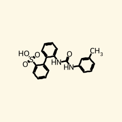 Cc1cccc(NC(=O)Nc2ccccc2-c2ccccc2S(=O)(=O)O)c1